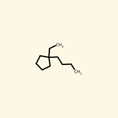 CCCCC1(CC)[C]CCC1